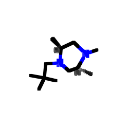 C[C@@H]1CN(CC(C)(C)C)[C@@H](C)CN1C